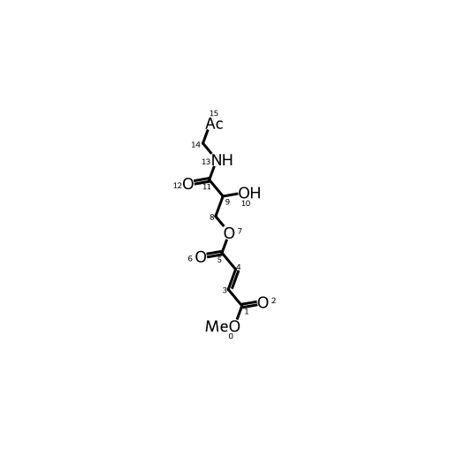 COC(=O)/C=C/C(=O)OCC(O)C(=O)NCC(C)=O